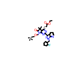 CCOC(=O)CCc1nc(-c2nn(Cc3ccccc3F)c3ncccc23)nc2c1C(C)(C)C(=O)N2COCC[Si](C)(C)C